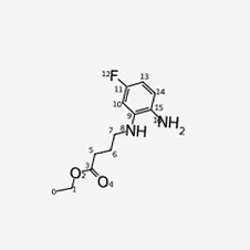 CCOC(=O)CCCNc1cc(F)ccc1N